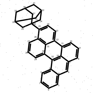 c1ccc2c(c1)cc1cccc3c4ccc(C56CC7CC(CC(C7)C5)C6)c5cccc(c54)c2c13